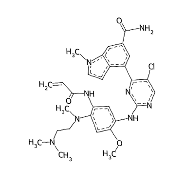 C=CC(=O)Nc1cc(Nc2ncc(Cl)c(-c3cc(C(N)=O)cc4c3ccn4C)n2)c(OC)cc1N(C)CCN(C)C